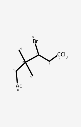 CC(=O)CC(C)(C)C(Br)CC(Cl)(Cl)Cl